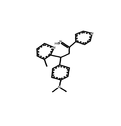 Cc1cccnc1C(C/C(=N\O)c1ccncc1)c1ccc(N(C)C)cc1